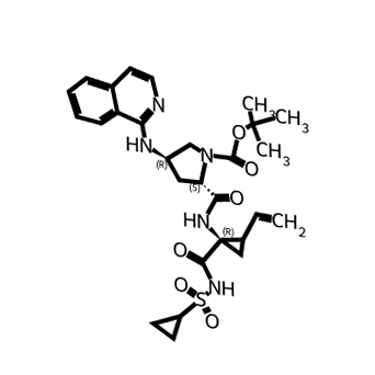 C=CC1C[C@]1(NC(=O)[C@@H]1C[C@@H](Nc2nccc3ccccc23)CN1C(=O)OC(C)(C)C)C(=O)NS(=O)(=O)C1CC1